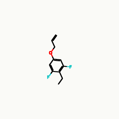 C=CCOc1cc(F)c(CC)c(F)c1